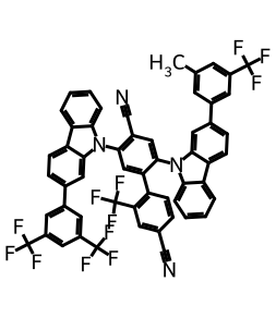 Cc1cc(-c2ccc3c4ccccc4n(-c4cc(C#N)c(-n5c6ccccc6c6ccc(-c7cc(C(F)(F)F)cc(C(F)(F)F)c7)cc65)cc4-c4ccc(C#N)cc4C(F)(F)F)c3c2)cc(C(F)(F)F)c1